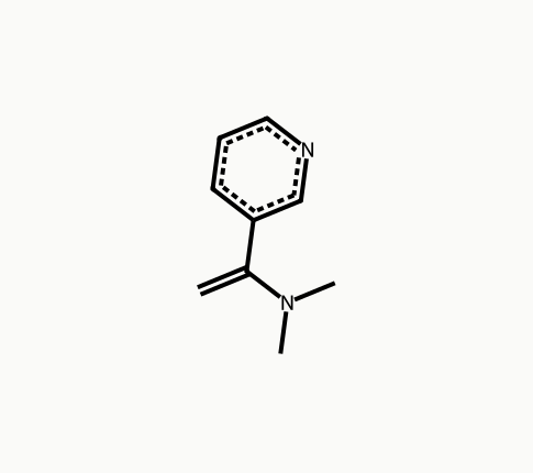 C=C(c1cccnc1)N(C)C